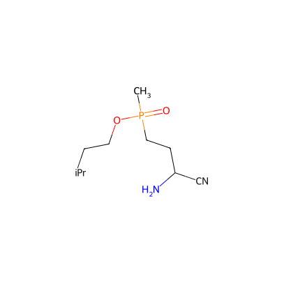 CC(C)CCOP(C)(=O)CCC(N)C#N